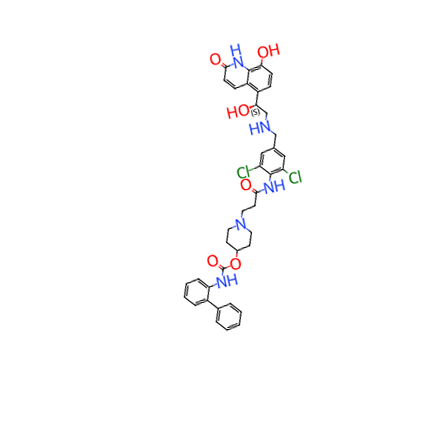 O=C(CCN1CCC(OC(=O)Nc2ccccc2-c2ccccc2)CC1)Nc1c(Cl)cc(CNC[C@@H](O)c2ccc(O)c3[nH]c(=O)ccc23)cc1Cl